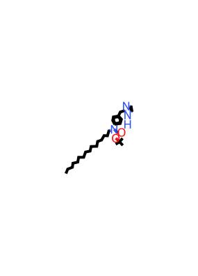 CCCCCCCCCCCCCCCCN(C(=O)OC(C)(C)C)c1ccc(Cc2ncc[nH]2)cc1